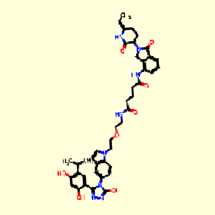 CC=C1CCC(N2Cc3c(NC(=O)CCCC(=O)NCCOCCn4ccc5cc(-n6c(O)nnc6-c6cc(C(C)C)c(O)cc6O)ccc54)cccc3C2=O)C(=O)N1